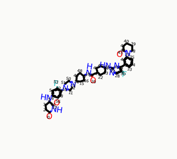 O=C1CCC(Nc2ccc(N3CCN(C4CCC(NC(=O)C5CCC(Nc6ncc(F)c(-c7cccc(N8CCCCC8=O)c7)n6)CC5)CC4)CC3)c(F)c2)C(=O)N1